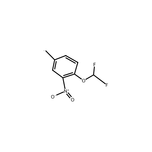 [CH2]c1ccc(OC(F)F)c([N+](=O)[O-])c1